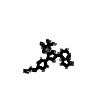 N#CCOc1ccc(-c2cnn(-c3ccnc4[nH]ccc34)c2)cc1.O=C(O)C(F)(F)F